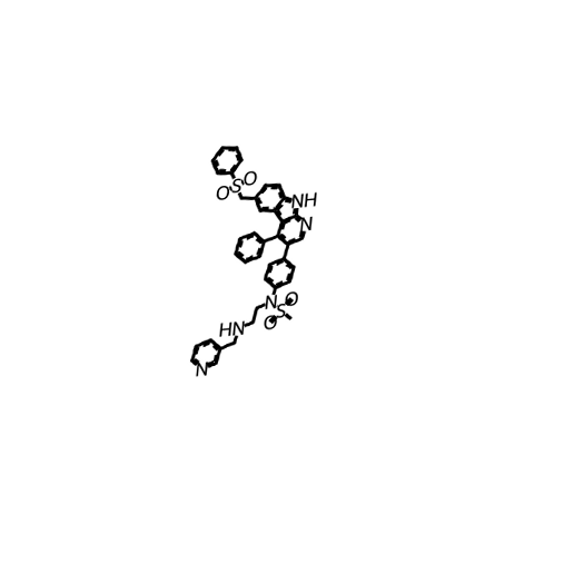 CS(=O)(=O)N(CCNCc1cccnc1)c1ccc(-c2cnc3[nH]c4ccc(CS(=O)(=O)c5ccccc5)cc4c3c2-c2ccccc2)cc1